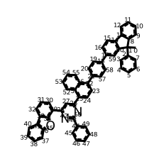 CC1(c2ccccc2)c2ccccc2-c2ccc(-c3ccc(-c4ccc(-c5cc(-c6cccc7c6oc6ccccc67)nc(-c6ccccc6)n5)c5ccccc45)cc3)cc21